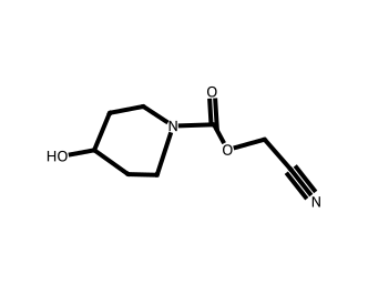 N#CCOC(=O)N1CCC(O)CC1